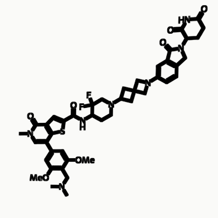 COc1cc(-c2cn(C)c(=O)c3cc(C(=O)NC4CCN(C5CC6(C5)CN(c5ccc7c(c5)C(=O)N(C5CCC(=O)NC5=O)C7)C6)CC4(F)F)sc23)cc(OC)c1CN(C)C